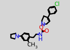 Cc1cc(N2CCCC2)ccc1CCNC(=O)ON1CC=C(c2ccc(Cl)cc2)CC1